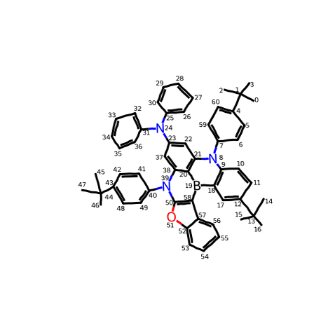 CC(C)(C)c1ccc(N2c3ccc(C(C)(C)C)cc3B3c4c2cc(N(c2ccccc2)c2ccccc2)cc4N(c2ccc(C(C)(C)C)cc2)c2oc4ccccc4c23)cc1